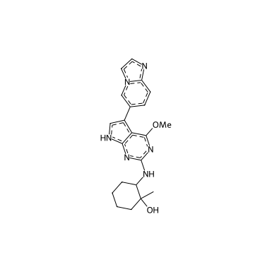 COc1nc(NC2CCCCC2(C)O)nc2[nH]cc(-c3ccc4nccn4c3)c12